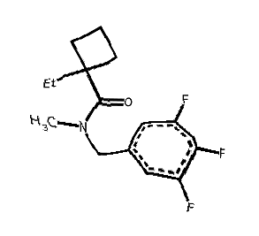 CCC1(C(=O)N(C)Cc2cc(F)c(F)c(F)c2)CCC1